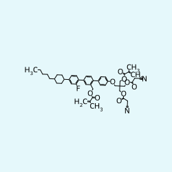 C=C(C)C(=O)OCc1cc(-c2ccc(C3CCC(CCCCC)CC3)cc2F)ccc1-c1ccc(OCC(COC(=O)CC#N)(COC(=O)CC#N)COC(=O)C(=C)C)cc1